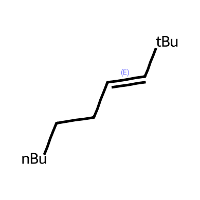 CCCCCC/C=C/C(C)(C)C